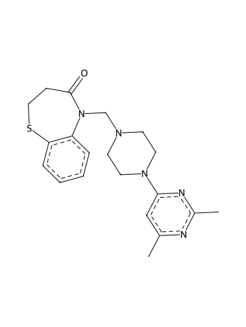 Cc1cc(N2CCN(CN3C(=O)CCSc4ccccc43)CC2)nc(C)n1